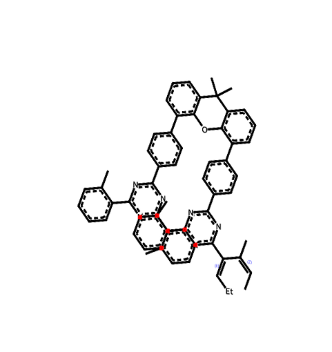 C/C=C(C)\C(=C/CC)c1nc(-c2ccc(-c3cccc4c3Oc3c(-c5ccc(-c6nc(-c7ccccc7C)nc(-c7ccccc7C)n6)cc5)cccc3C4(C)C)cc2)nc(-c2ccccc2C)n1